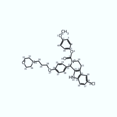 COc1ccc(OC(=O)N2CCc3c([nH]c4ccc(Cl)cc34)C2c2ccc(OCCCN3CCOCC3)cc2)cc1